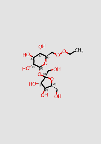 CCOOC[C@H]1O[C@H](O[C@]2(CO)O[C@H](CO)[C@@H](O)[C@@H]2O)[C@H](O)[C@@H](O)[C@@H]1O